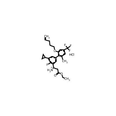 C=CCCCOc1cc(C(F)(F)F)cc(C)c1-c1cc(C2CC2)c(F)c([C@@H](N)CC(=O)OCC)c1.Cl